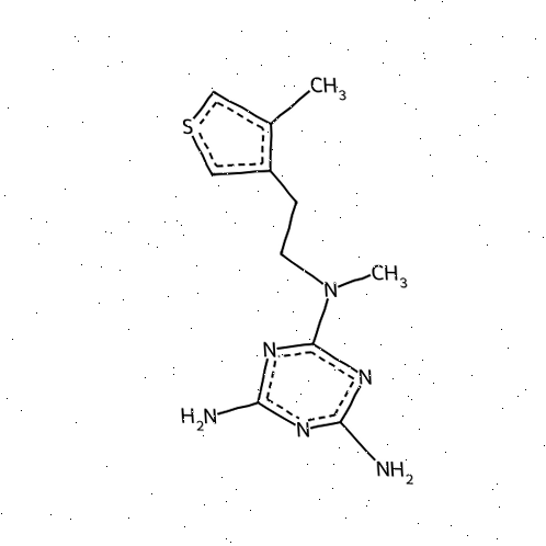 Cc1cscc1CCN(C)c1nc(N)nc(N)n1